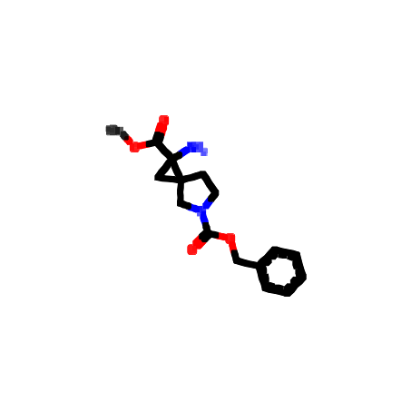 CC(C)(C)OC(=O)C1(N)CC12CCN(C(=O)OCc1ccccc1)C2